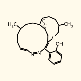 CC1CC/C2=C(c3ccccc3O)/N=N\C=C\CCC(C)CCC3C(CC1)CCC3C2